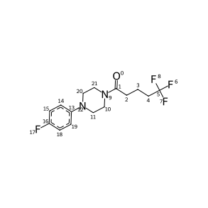 O=C(CCCC(F)(F)F)N1CCN(c2ccc(F)cc2)CC1